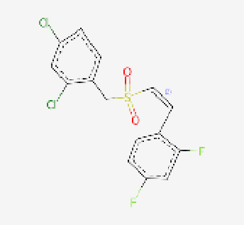 O=S(=O)(/C=C\c1ccc(F)cc1F)Cc1ccc(Cl)cc1Cl